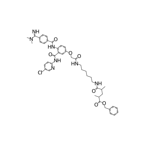 CC(CC(C)C(=O)OCc1ccccc1)C(=O)NCCCCCCNC(=O)COc1ccc(NC(=O)c2ccc(C(=N)N(C)C)cc2)c(C(=O)Nc2ccc(Cl)cn2)c1